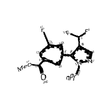 CCCn1ncc(C(F)F)c1-c1cc(F)cc(C(=O)OC)c1